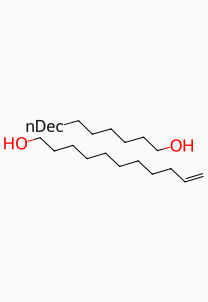 C=CCCCCCCCCCO.CCCCCCCCCCCCCCCCO